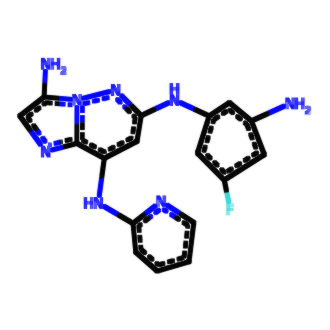 Nc1cc(F)cc(Nc2cc(Nc3ccccn3)c3ncc(N)n3n2)c1